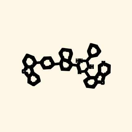 c1ccc(C2NC(c3ccc(-c4ccc(-c5cccc6oc7ccccc7c56)cc4)c4ccccc34)=NC(c3cccc4oc5ccncc5c34)N2)cc1